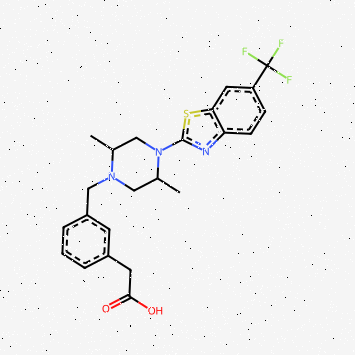 CC1CN(c2nc3ccc(C(F)(F)F)cc3s2)C(C)CN1Cc1cccc(CC(=O)O)c1